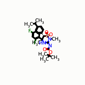 CC(C)c1ccc([C@H]2[C@@](C)(c3ccc(F)cc3F)N/C(=N\C(=O)OC(C)(C)C)N(C)S2(=O)=O)cc1